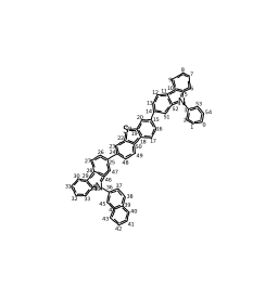 c1ccc(-n2c3ccccc3c3ccc(-c4ccc5c(c4)sc4cc(-c6ccc7c8ccccc8n(-c8ccc9ccccc9c8)c7c6)ccc45)cc32)cc1